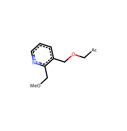 COCc1ncccc1COCC(C)=O